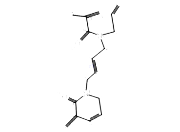 C=CCN(C/C=C/CN1CC=CC(=C)C1=O)C(=O)C(=C)C